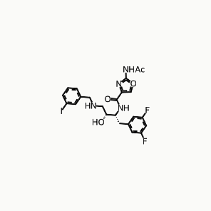 CC(=O)Nc1nc(C(=O)N[C@H](Cc2cc(F)cc(F)c2)[C@H](O)CNCc2cccc(I)c2)co1